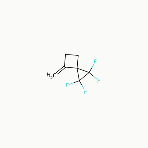 C=C1CCC12C(F)(F)C2(F)F